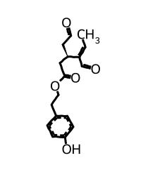 C/C=C(/C=O)[C@H](CC=O)CC(=O)OCCc1ccc(O)cc1